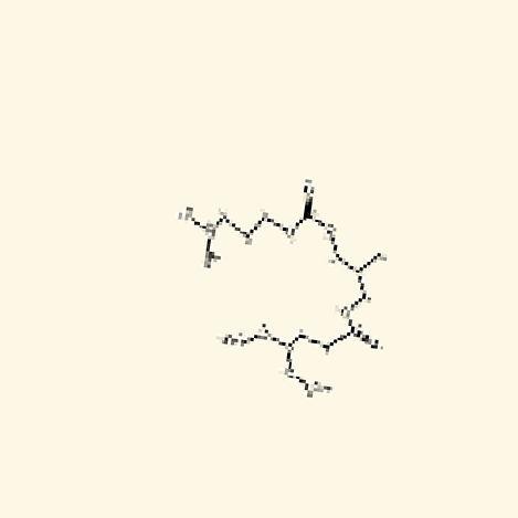 [CH2]C(COC(=O)CCC(OCCCCCCCC)OCCCCCCCC)COC(=O)OCCCN(C(C)C)C(C)C